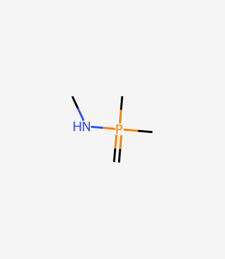 C=P(C)(C)NC